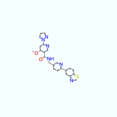 COc1cc(-n2cccn2)ncc1C(=O)NCc1ccc(-c2ccc3scnc3c2)nc1